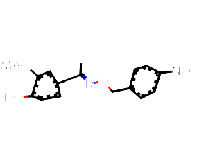 COc1cc(/C(C)=N/OCc2ccc([N+](=O)[O-])cc2)ccc1O